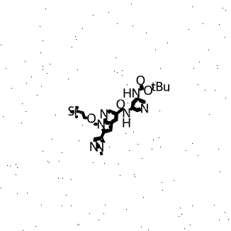 Cn1cc(-c2cc3cc(C(=O)Nc4cncc(NC(=O)OC(C)(C)C)c4)cnc3n2COCC[Si](C)(C)C)cn1